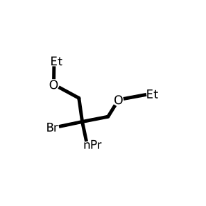 CCCC(Br)(COCC)COCC